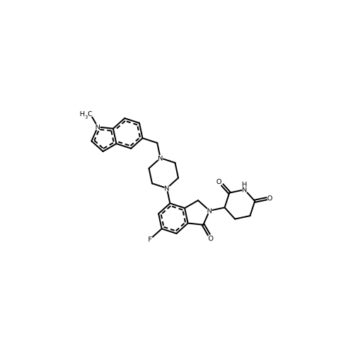 Cn1ccc2cc(CN3CCN(c4cc(F)cc5c4CN(C4CCC(=O)NC4=O)C5=O)CC3)ccc21